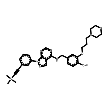 COc1ccc(CNc2ncnc3c2cnn3-c2cccc(C#C[Si](C)(C)C)c2)cc1OCCCN1CCOCC1